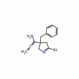 C=C=C(N)C1(Cc2ccccc2)CN=C(CC)C1